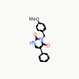 COc1ccc(Cn2c(=O)[nH]cc(-c3ccccc3)c2=O)cc1